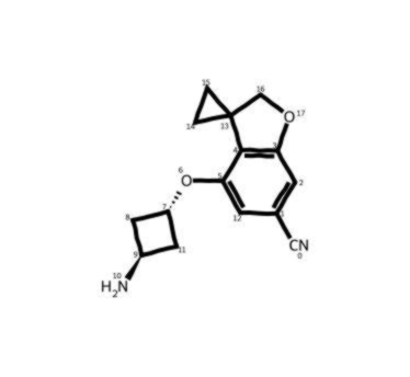 N#Cc1cc2c(c(O[C@H]3C[C@H](N)C3)c1)C1(CC1)CO2